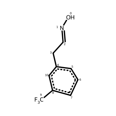 ON=[C]Cc1cccc(C(F)(F)F)c1